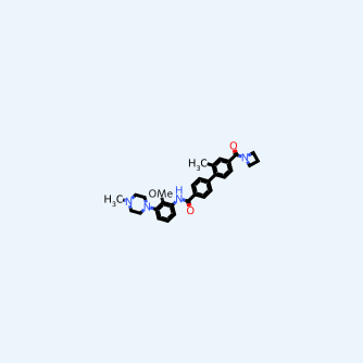 COc1c(NC(=O)c2ccc(-c3ccc(C(=O)N4CCC4)cc3C)cc2)cccc1N1CCN(C)CC1